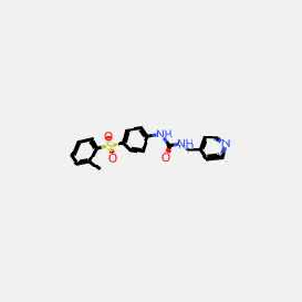 Cc1ccccc1S(=O)(=O)c1ccc(NC(=O)NCc2ccncc2)cc1